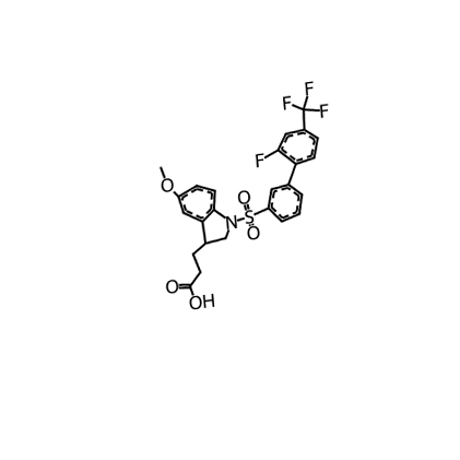 COc1ccc2c(c1)C(CCC(=O)O)CN2S(=O)(=O)c1cccc(-c2ccc(C(F)(F)F)cc2F)c1